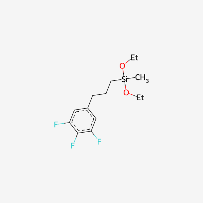 CCO[Si](C)(CCCc1cc(F)c(F)c(F)c1)OCC